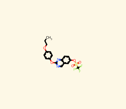 CCCOc1ccc(Oc2ncc3cc(OS(=O)(=O)C(F)(F)F)ccc3n2)cc1